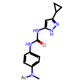 CC(=O)N(C)c1ccc(NC(=O)Nc2cc(C3CC3)n[nH]2)cc1